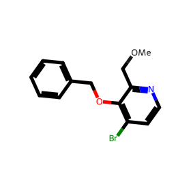 COCc1nccc(Br)c1OCc1ccccc1